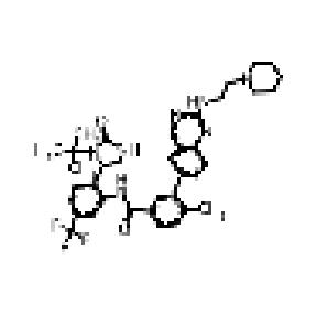 Cc1ccc(C(=O)Nc2cc(C(F)(F)F)ccc2C2CNC(=O)N2C(C)(C)C)cc1-c1ccc2nc(NCCN3CCCCC3)ncc2c1